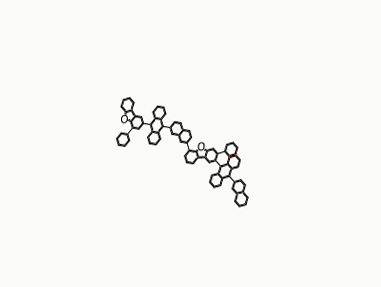 c1ccc(-c2cc3oc4c(-c5ccc6ccc(-c7c8ccccc8c(-c8cc(-c9ccccc9)c9oc%10ccccc%10c9c8)c8ccccc78)cc6c5)cccc4c3cc2-c2c3ccccc3c(-c3ccc4ccccc4c3)c3ccccc23)cc1